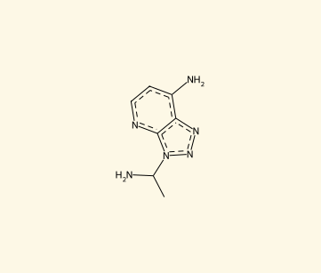 CC(N)n1nnc2c(N)ccnc21